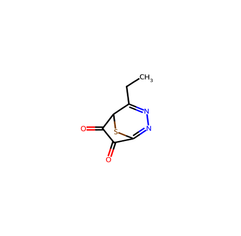 CCC1=NN=C2SC1C(=O)C2=O